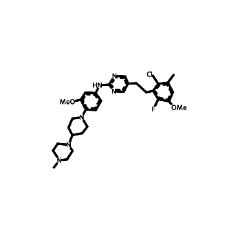 COc1cc(Nc2ncc(CCc3c(F)c(OC)cc(C)c3Cl)cn2)ccc1N1CCC(N2CCN(C)CC2)CC1